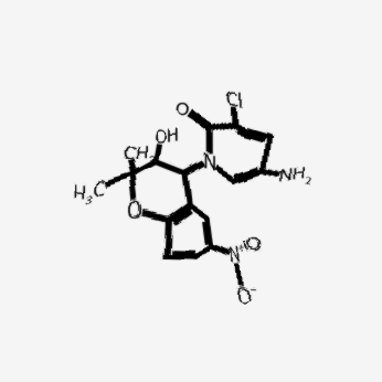 CC1(C)Oc2ccc([N+](=O)[O-])cc2C(n2cc(N)cc(Cl)c2=O)C1O